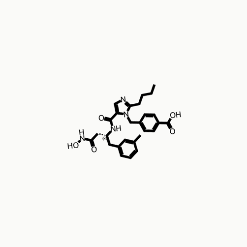 CCCCc1ncc(C(=O)N[C@@H](CC(=O)NO)Cc2cccc(C)c2)n1Cc1ccc(C(=O)O)cc1